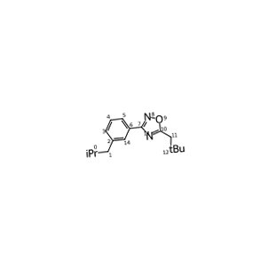 CC(C)Cc1cccc(-c2noc(CC(C)(C)C)n2)c1